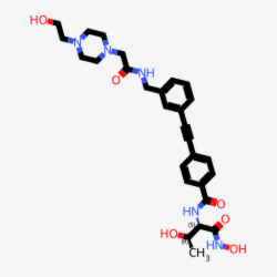 C[C@@H](O)[C@H](NC(=O)c1ccc(C#Cc2cccc(CNC(=O)CN3CCN(CCO)CC3)c2)cc1)C(=O)NO